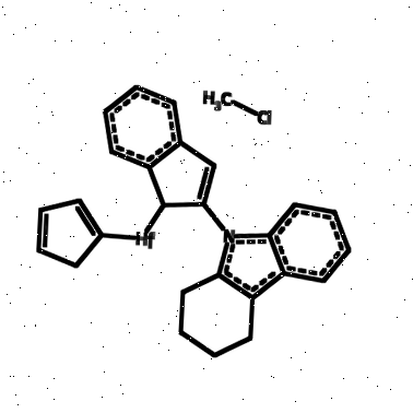 C1=CC[C]([Hf][CH]2C(n3c4c(c5ccccc53)CCCC4)=Cc3ccccc32)=C1.CCl